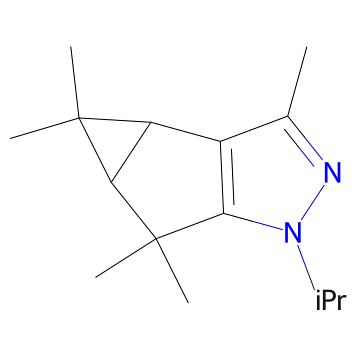 Cc1nn(C(C)C)c2c1C1C(C2(C)C)C1(C)C